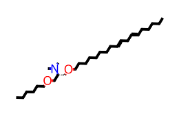 CCCCCC=CCC=CCCCCCCCCOC[C@H](COCCCCCC)N(C)C